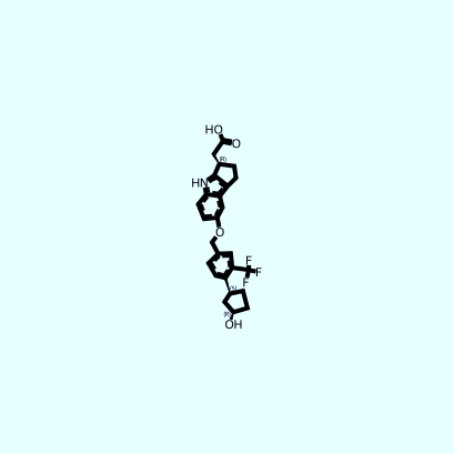 O=C(O)C[C@H]1CCc2c1[nH]c1ccc(OCc3ccc([C@H]4CC[C@@H](O)C4)c(C(F)(F)F)c3)cc21